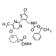 COC(=O)[C@H]1CCC[C@H](Oc2cnc(-c3sc(Cl)cc3CNC(=O)O[C@H](C)c3ccccc3)nc2C)C1